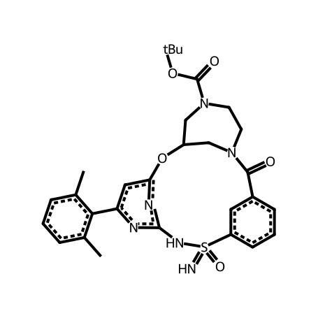 Cc1cccc(C)c1-c1cc2nc(n1)NS(=N)(=O)c1cccc(c1)C(=O)N1CCN(C(=O)OC(C)(C)C)CC(C1)O2